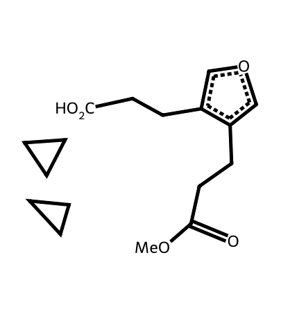 C1CC1.C1CC1.COC(=O)CCc1cocc1CCC(=O)O